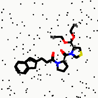 CCOC(OCC)[C@@H]1CSCN1C(=O)[C@@H]1CCCN1C(=O)CCC1=Cc2ccccc2C1